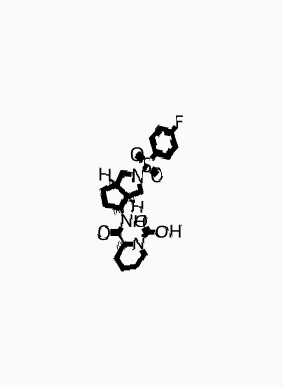 O=C(N[C@@H]1CC[C@H]2CN(S(=O)(=O)c3ccc(F)cc3)C[C@H]21)[C@@H]1CCCCN1C(=O)O